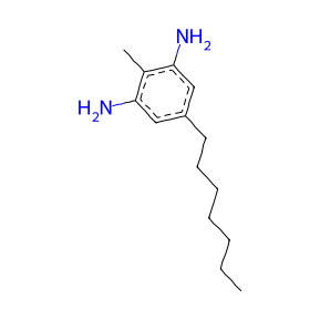 CCCCCCCc1cc(N)c(C)c(N)c1